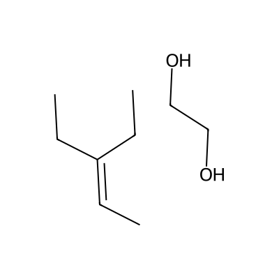 CC=C(CC)CC.OCCO